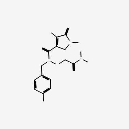 CN(C)C(=O)CON(Cc1ccc(F)cc1)C(=O)C1=C(O)C(=O)N(C)C1